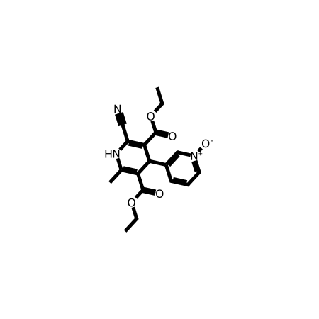 CCOC(=O)C1=C(C)NC(C#N)=C(C(=O)OCC)C1c1ccc[n+]([O-])c1